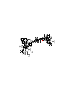 C[C@H]1CCc2cccc3c2N(C1=O)[C@H](C(=O)N[C@@H](CCC(N)=O)[C@@H](C)OCc1ccc(CCCNC(=O)CCc2ccc4c(c2)n(C)c(=O)n4C2CCC(=O)NC2=O)cc1)C3